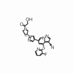 N#Cc1cnn2cc(-c3cnn([C@H]4CCN(C(=O)CO)C4)c3)cc(Sc3ncccc3F)c12